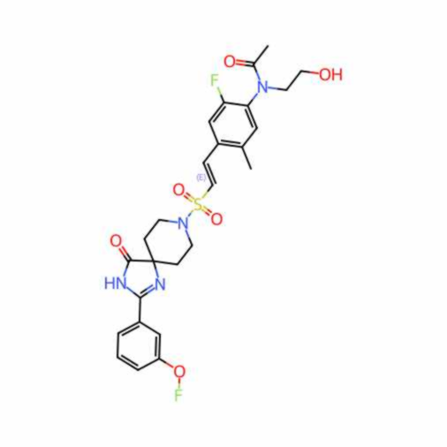 CC(=O)N(CCO)c1cc(C)c(/C=C/S(=O)(=O)N2CCC3(CC2)N=C(c2cccc(OF)c2)NC3=O)cc1F